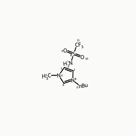 CCCC[n+]1ccn(C)c1.NS(=O)(=O)C(F)(F)F